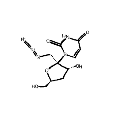 [N-]=[N+]=NC[C@@]1(n2ccc(=O)[nH]c2=O)O[C@H](CO)C[C@H]1O